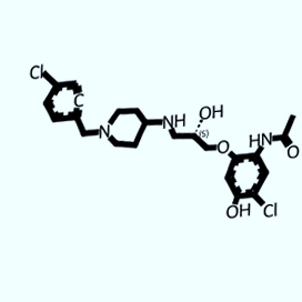 CC(=O)Nc1cc(Cl)c(O)cc1OC[C@@H](O)CNC1CCN(Cc2ccc(Cl)cc2)CC1